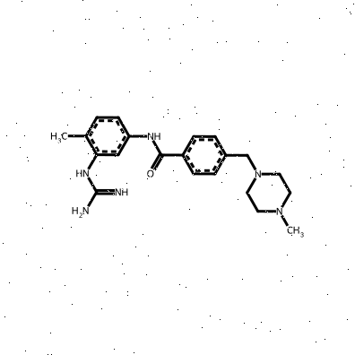 Cc1ccc(NC(=O)c2ccc(CN3CCN(C)CC3)cc2)cc1NC(=N)N